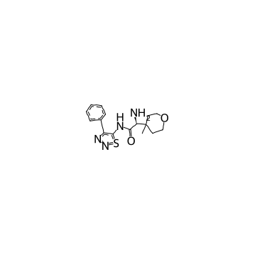 CC1([C@H](N)C(=O)Nc2snnc2-c2ccccc2)CCOCC1